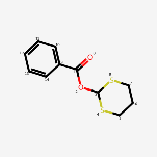 O=C(OC1SCCCS1)c1ccccc1